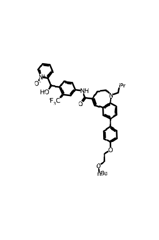 CCCCOCCOc1ccc(-c2ccc3c(c2)C=C(C(=O)Nc2ccc(C(O)c4cccc[n+]4[O-])c(C(F)(F)F)c2)CCN3CC(C)C)cc1